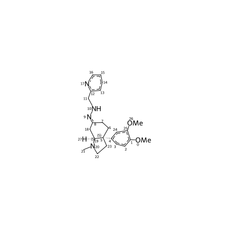 COc1ccc([C@@]23CCC(=NNCc4ccccn4)C[C@@H]2N(C)CC3)cc1OC